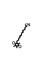 CC1=C(C)C(=O)C(CCCCC=CCC=CCCCC#N)=C(C)C1=O